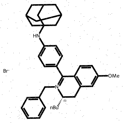 CCCC[C@H]1Cc2cc(OC)ccc2C(c2ccc(NC34CC5CC(CC(C5)C3)C4)cc2)=[N+]1Cc1ccccc1.[Br-]